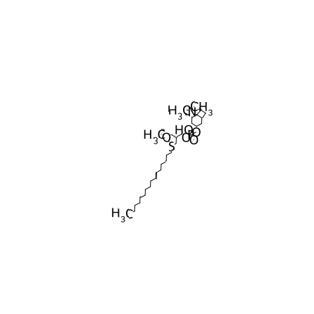 CCCCCCCCCCCCCCCCSCC(COC)COP(=O)(O)OC1CC2CCC23C(C1)[N+]3(C)C